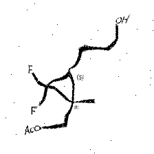 CC(=O)OC[C@@]1(C)[C@H](CCO)C1(F)F